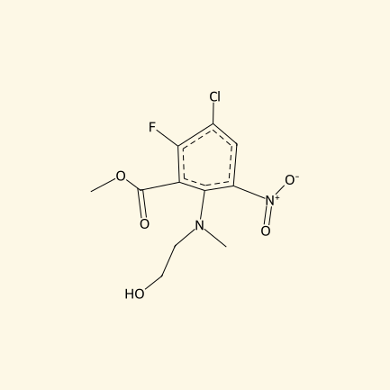 COC(=O)c1c(F)c(Cl)cc([N+](=O)[O-])c1N(C)CCO